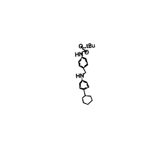 CC(C)(C)S(=O)(=O)Nc1ccc(CNc2ccc(C3CCCCC3)cc2)cc1